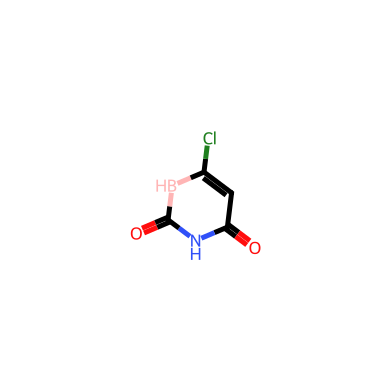 O=C1BC(Cl)=CC(=O)N1